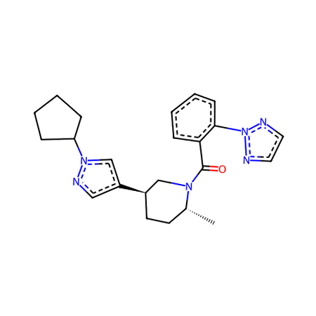 C[C@@H]1CC[C@@H](c2cnn(C3CCCC3)c2)CN1C(=O)c1ccccc1-n1nccn1